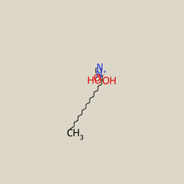 CCCCCCCCCCCCCCCCCC(O)(O)C[N+]1([O-])C=NCC1